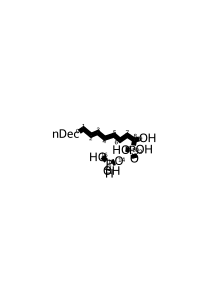 CCCCCCCCCCCCCCCCCC(O)P(=O)(O)O.O=[PH](O)O